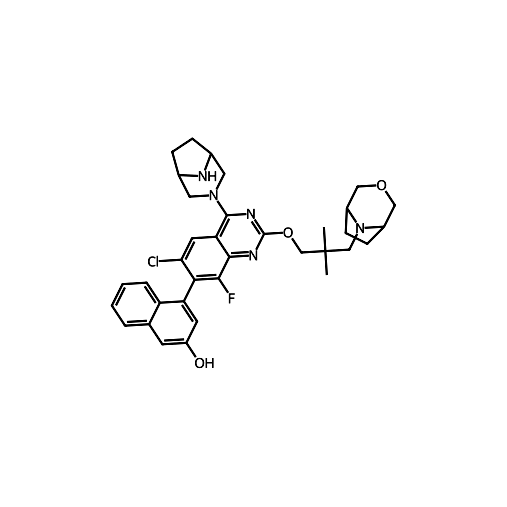 CC(C)(COc1nc(N2CC3CCC(C2)N3)c2cc(Cl)c(-c3cc(O)cc4ccccc34)c(F)c2n1)CN1C2CCC1COC2